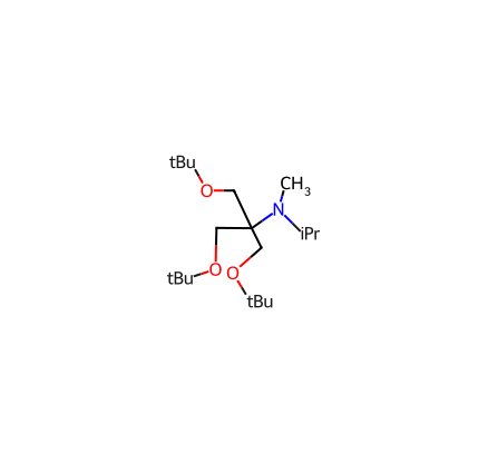 CC(C)N(C)C(COC(C)(C)C)(COC(C)(C)C)COC(C)(C)C